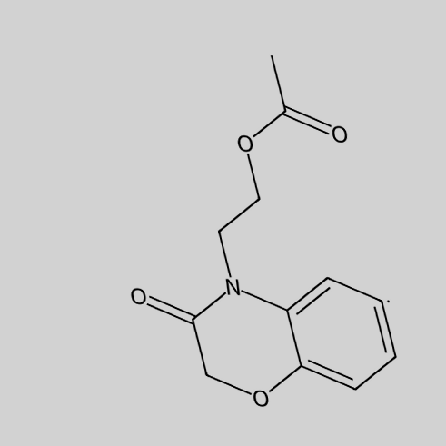 CC(=O)OCCN1C(=O)COc2cc[c]cc21